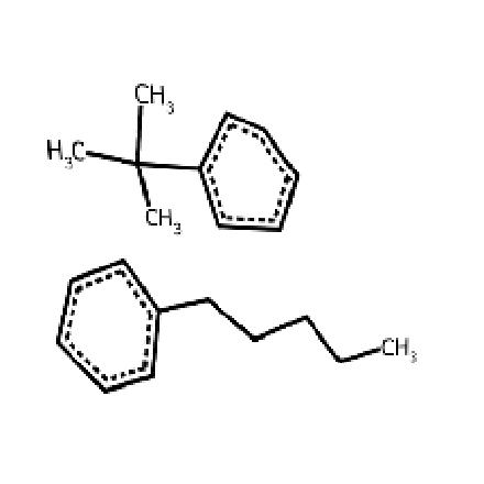 CC(C)(C)c1ccccc1.CCCCCc1ccccc1